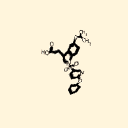 CC(C)Oc1ccc2c(c1)C(CCC(=O)O)CN2S(=O)(=O)c1ccc(Oc2ccccc2)nc1